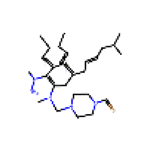 C/C=C(\CC=CCC(C)C)C\C(=C(C(/C=C\CC)=C/CC)\N(C)N)N(C)CN1CCN(C=S)CC1